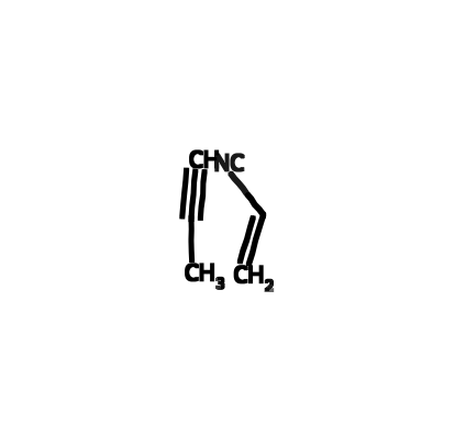 C#CC.C=CC#N